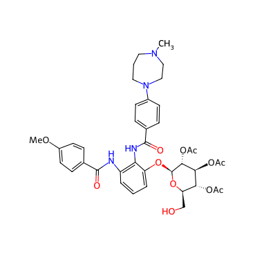 COc1ccc(C(=O)Nc2cccc(O[C@@H]3O[C@H](CO)[C@@H](OC(C)=O)[C@H](OC(C)=O)[C@H]3OC(C)=O)c2NC(=O)c2ccc(N3CCCN(C)CC3)cc2)cc1